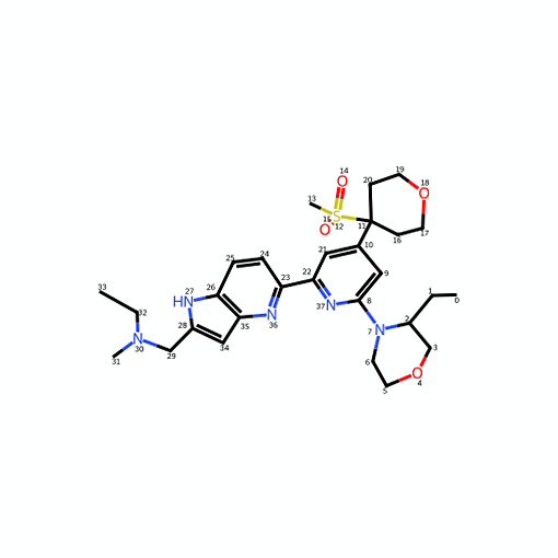 CCC1COCCN1c1cc(C2(S(C)(=O)=O)CCOCC2)cc(-c2ccc3[nH]c(CN(C)CC)cc3n2)n1